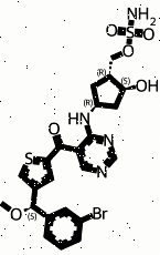 CO[C@@H](c1cccc(Br)c1)c1csc(C(=O)c2cncnc2N[C@@H]2C[C@H](COS(N)(=O)=O)[C@@H](O)C2)c1